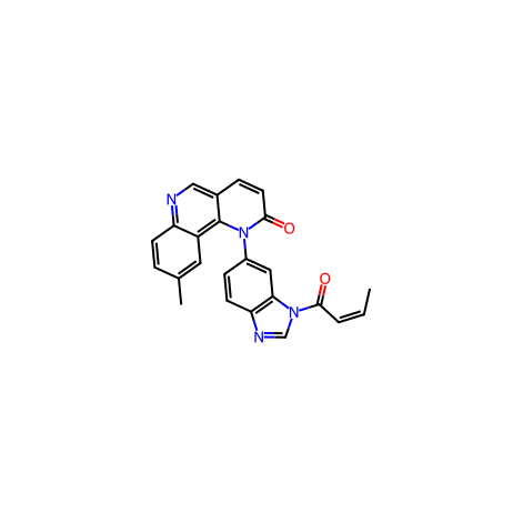 C/C=C\C(=O)n1cnc2ccc(-n3c(=O)ccc4cnc5ccc(C)cc5c43)cc21